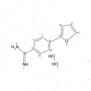 Cl.Cl.N=C(N)c1ccc(-c2ccco2)cc1